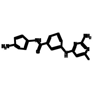 Cc1cc(Nc2cccc(C(=O)Nc3ccc(N)cc3)c2)nc(N)n1